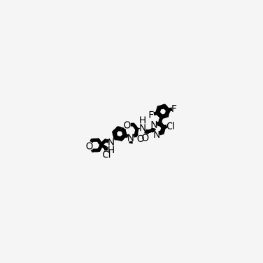 CN1C(=O)[C@@H](NC(=O)c2ncc(Cl)c(-c3cc(F)ccc3F)n2)COc2ccc(NCC3(CCl)CCOCC3)cc21